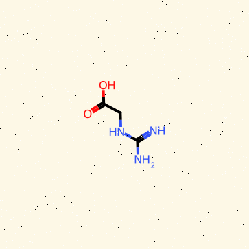 N=C(N)NCC(=O)O